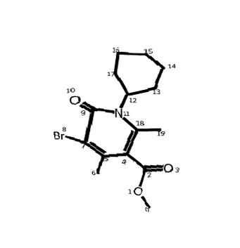 COC(=O)c1c(C)c(Br)c(=O)n(C2CCCCC2)c1C